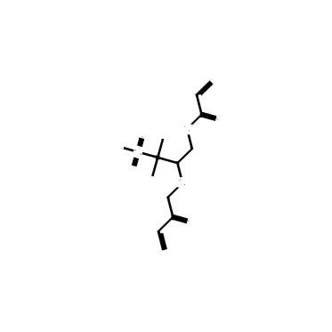 C=CC(=O)CNC(CNC(=O)C=C)C(C)(C)S(=O)(=O)O